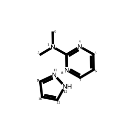 CN(C)c1ncccn1.[c]1cc[nH]n1